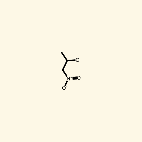 CC([O])C[N+](=O)[O-]